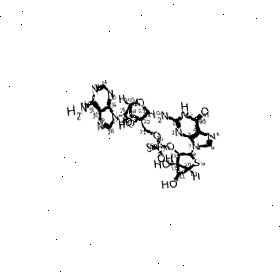 Nc1nc2c(ncn2[C@@H]2S[C@@H]3C(O)[C@]3(O)[C@H]2OP(O)(=S)OC[C@@]23CO[C@@H]([C@@H](n4cnc5c(N)ncnc54)O2)[C@@H]3O)c(=O)[nH]1